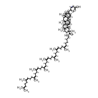 CC(C)=CCCC(C)=CCCC(C)=CCCC(C)=CCCC(C)=CCCC(C)=CCCC(C)=CCCC(C)=CCCC(C)=CCSCCNC(=O)C1(C)CC[C@]2(C)CC[C@]3(C)C(=CC[C@@H]4[C@@]5(C)CC[C@H](OC(=O)/C=C\C(=O)O)C(C)(C)[C@H]5CC[C@]43C)[C@@H]2C1